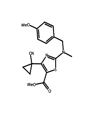 COC(=O)c1sc(N(C)Cc2ccc(OC)cc2)nc1C1(C#N)CC1